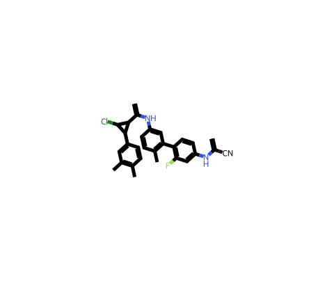 C=C(C#N)Nc1ccc(-c2cc(NC(=C)C3C(Cl)C3c3ccc(C)c(C)c3)ccc2C)c(F)c1